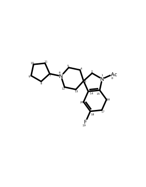 CC(=O)N1CC2(CCN(C3CCCC3)CC2)C2=C1CCC(F)=C2